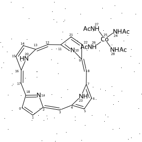 C1=Cc2cc3ccc(cc4nc(cc5ccc(cc1n2)[nH]5)C=C4)[nH]3.CC(=O)[NH][Co]([NH]C(C)=O)([NH]C(C)=O)[NH]C(C)=O